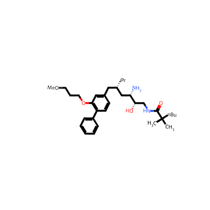 CCCCC(C)(C)C(=O)NC[C@H](O)[C@@H](N)C[C@H](Cc1ccc(-c2ccccc2)c(OCCCOC)c1)C(C)C